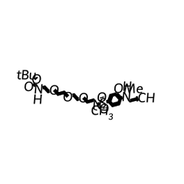 C#CCNc1ccc(S(=O)(=O)N(C)CCOCCOCCOCCNC(=O)OC(C)(C)C)cc1OC